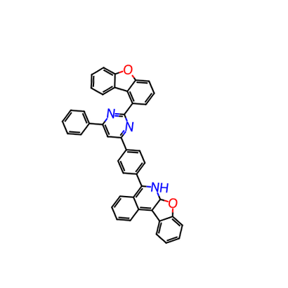 c1ccc(-c2cc(-c3ccc(C4=c5ccccc5=C5c6ccccc6OC5N4)cc3)nc(-c3cccc4oc5ccccc5c34)n2)cc1